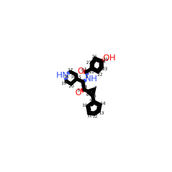 O=C(NC(C(=O)C1CC1c1ccccc1)C1CCNCC1)c1ccc(O)cc1